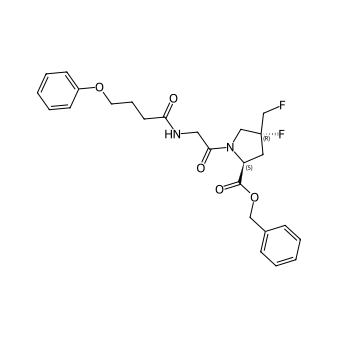 O=C(CCCOc1ccccc1)NCC(=O)N1C[C@@](F)(CF)C[C@H]1C(=O)OCc1ccccc1